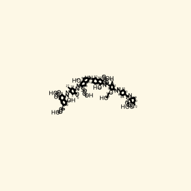 COc1cc(/N=N/c2cc(S(=O)(=O)O)cc3cc(SOOO)cc(O)c23)c(C)cc1/N=N/c1c(SOOO)cc2cc(Nc3ccc4c(O)c(/N=N/c5cc(OCCO)c(/N=N/c6ccc(-c7nc8ccc(C)c(S(=O)(=O)O)c8s7)cc6)cc5C)c(S(=O)(=O)O)cc4c3)ccc2c1O